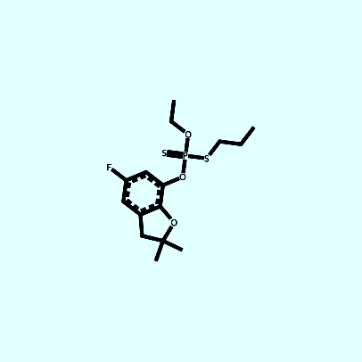 CCCSP(=S)(OCC)Oc1cc(F)cc2c1OC(C)(C)C2